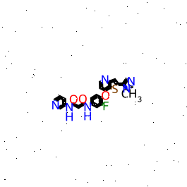 Cn1cncc1-c1cc2nccc(Oc3ccc(NC(=O)CC(=O)Nc4cccnc4)cc3F)c2s1